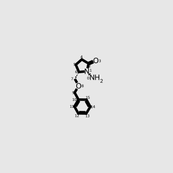 NN1C(=O)CC[C@H]1COCc1ccccc1